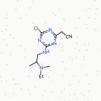 CCN(C)C(C)CNc1nc(Cl)nc(CC#N)n1